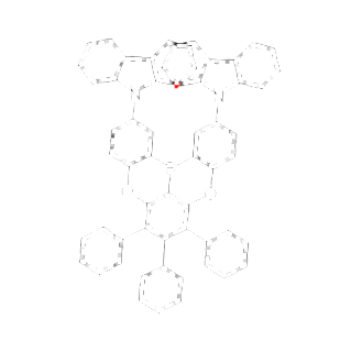 c1ccc(-c2c3c4c(c(-c5ccccc5)c2-c2ccccc2)Oc2ccc(-n5c6ccccc6c6ccccc65)cc2B4c2cc(-n4c5ccccc5c5ccccc54)ccc2O3)cc1